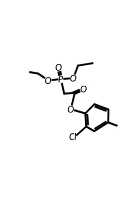 CCOP(=O)(CC(=O)Oc1ccc(C)cc1Cl)OCC